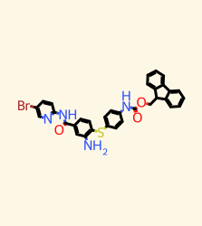 Nc1cc(C(=O)Nc2ccc(Br)cn2)ccc1Sc1ccc(NC(=O)OCC2c3ccccc3-c3ccccc32)cc1